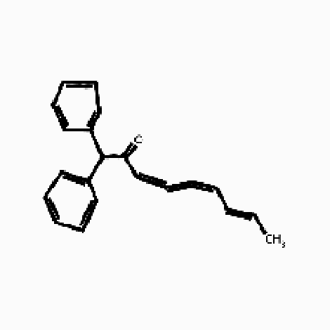 CC=CC=C=C=CC(=O)C(c1ccccc1)c1ccccc1